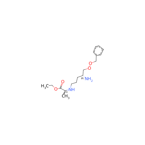 CCOC(=O)[C@H](C)NCCC[C@@H](N)COOCc1ccccc1